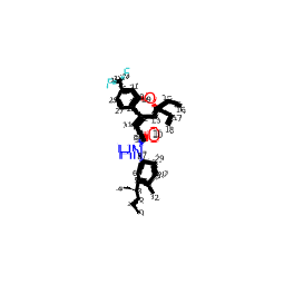 CCC[C@@H](C)c1cc(NC(=O)/C=C2\CC(CC)(CC)Oc3cc(C(F)F)ccc32)ccc1C